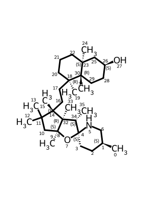 C[C@H]1CC[C@]2(NC1)O[C@@]1(C)CC(C)(C)[C@](C)(CC[C@@]3(C)CCC[C@@]4(C)C[C@@H](O)CC[C@]34C)[C@@]1(C)[C@@H]2C